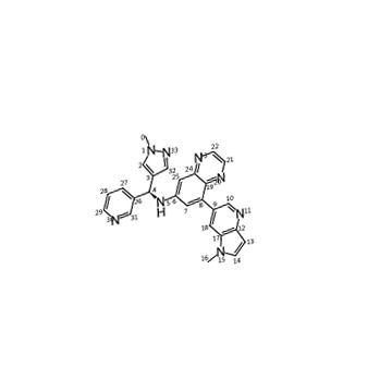 Cn1cc([C@@H](Nc2cc(-c3cnc4ccn(C)c4c3)c3nccnc3c2)c2cccnc2)cn1